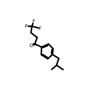 CC(C)Cc1ccc(C(=O)CCC(F)(F)F)cc1